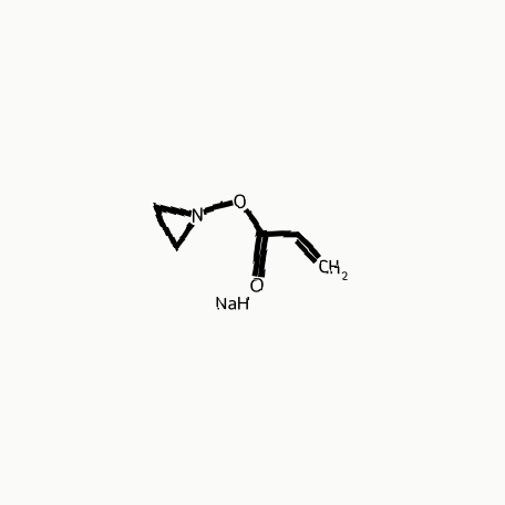 C=CC(=O)ON1CC1.[NaH]